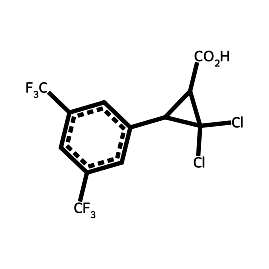 O=C(O)C1C(c2cc(C(F)(F)F)cc(C(F)(F)F)c2)C1(Cl)Cl